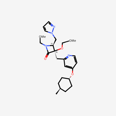 COCO[C@@]1(Cc2cc(O[C@H]3CC[C@H](C)CC3)ccn2)C(=O)N(COC)[C@H]1Cn1cccn1